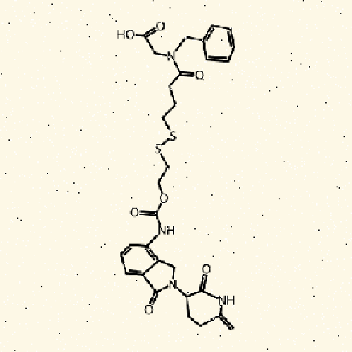 C=C1CCC(N2Cc3c(NC(=O)OCCSSCCCC(=O)N(CC(=O)O)Cc4ccccc4)cccc3C2=O)C(=O)N1